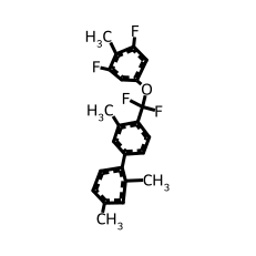 Cc1ccc(-c2ccc(C(F)(F)Oc3cc(F)c(C)c(F)c3)c(C)c2)c(C)c1